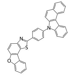 c1ccc2c(c1)ccc1c2c2ccccc2n1-c1ccc(-c2nc3ccc4oc5ccccc5c4c3s2)cc1